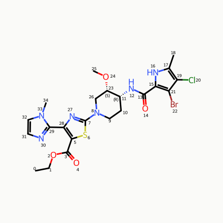 CCOC(=O)c1sc(N2CC[C@@H](NC(=O)c3[nH]c(C)c(Cl)c3Br)[C@@H](OC)C2)nc1-c1nccn1C